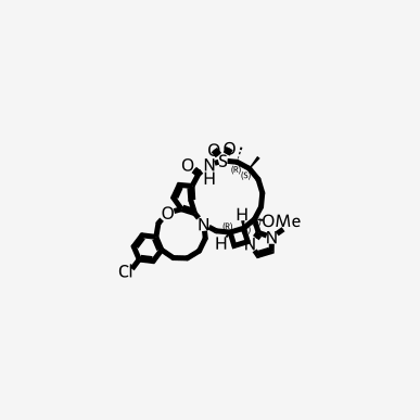 CO[C@@]1(c2nccn2C)CCC[C@H](C)[C@@H](C)S(=O)(=O)NC(=O)c2ccc3c(c2)N(CCCCc2cc(Cl)ccc2CO3)C[C@@H]2CC[C@H]21